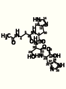 CC(=O)NCCC(=O)NC(Cc1c[nH]cn1)C(=O)NC(CO)C(=O)NC(Cc1c[nH]cn1)C(=O)O